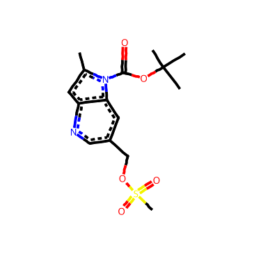 Cc1cc2ncc(COS(C)(=O)=O)cc2n1C(=O)OC(C)(C)C